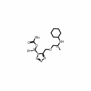 CC(C)[C@@H](OC(=O)C(C)(C)C)n1nnnc1COC[C@H](C)NC1CCCCC1